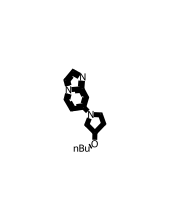 CCCCOC1CCN(c2ccn3ccnc3c2)C1